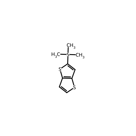 CS(C)(C)c1cc2sccc2s1